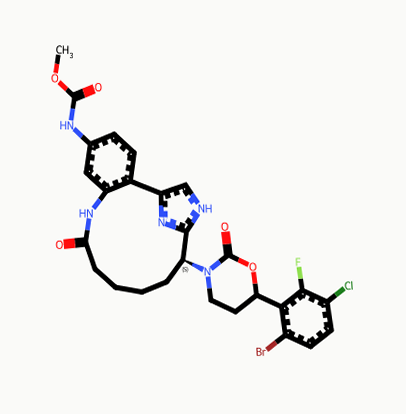 COC(=O)Nc1ccc2c(c1)NC(=O)CCCC[C@H](N1CCC(c3c(Br)ccc(Cl)c3F)OC1=O)c1nc-2c[nH]1